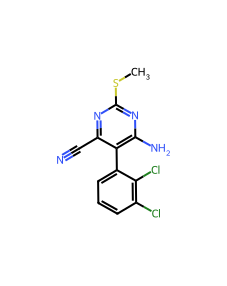 CSc1nc(N)c(-c2cccc(Cl)c2Cl)c(C#N)n1